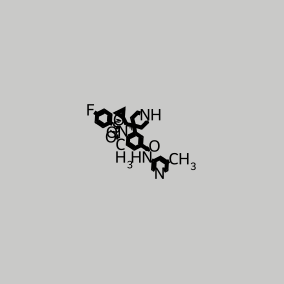 CC(=O)[N+]1(S(=O)(=O)c2ccc(F)cc2)c2ccc(C(=O)Nc3cncc(C)c3)cc2C2(CCNCC2)C1C1CC1